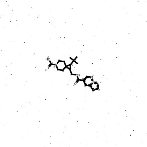 CC(C)(C)C1C(CNC(=O)c2cnn3nccc3c2)C12CCN(C(=O)O)CC2